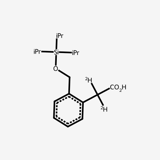 [2H]C([2H])(C(=O)O)c1ccccc1CO[Si](C(C)C)(C(C)C)C(C)C